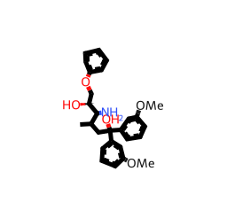 COc1cccc(C(O)(CC(C)C(N)[C@@H](O)COc2ccccc2)c2cccc(OC)c2)c1